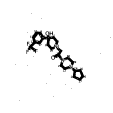 O=C(CN1CCC(O)(c2cccc(C(F)(F)F)c2)CC1)N1CCN(C2CCCC2)CC1